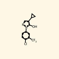 Oc1c(C2CC2)cnn1-c1ccc(Cl)c(C(F)(F)F)c1